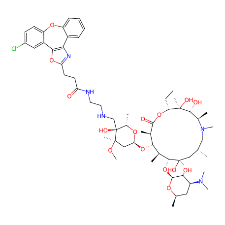 CC[C@H]1OC(=O)[C@H](C)[C@@H](O[C@H]2C[C@@](C)(OC)[C@](O)(CNCCNC(=O)CCc3nc4c(o3)-c3cc(Cl)ccc3Oc3ccccc3-4)[C@H](C)O2)[C@H](C)[C@@H](O[C@@H]2O[C@H](C)C[C@H](N(C)C)[C@H]2O)[C@](C)(O)C[C@@H](C)CN(C)[C@H](C)[C@@H](O)[C@]1(C)O